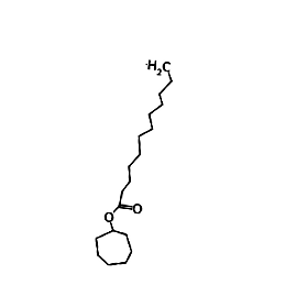 [CH2]CCCCCCCCCCC(=O)OC1CCCCCC1